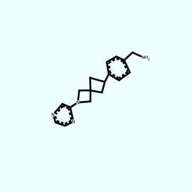 NCc1ccc(C2CC3(C2)CN(c2cnccn2)C3)cc1